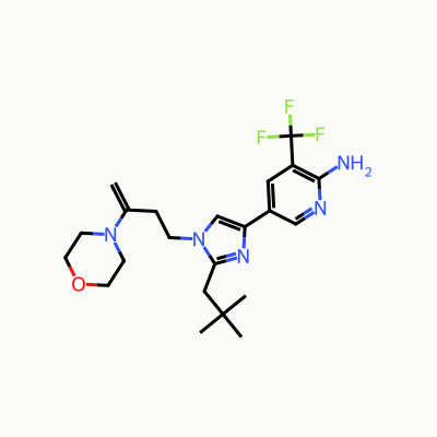 C=C(CCn1cc(-c2cnc(N)c(C(F)(F)F)c2)nc1CC(C)(C)C)N1CCOCC1